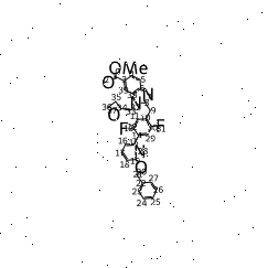 COC(=O)c1ccc2nc(Cc3cc(F)c(-c4cccc(OCc5ccccc5)n4)cc3F)n(C[C@@H]3CCO3)c2c1